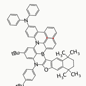 CC(C)(C)c1ccc(N2c3cc(C(C)(C)C)cc4c3B(c3ccccc3N4c3ccc(N(c4ccccc4)c4ccccc4)cc3-c3ccccc3)c3c2oc2cc4c(cc32)C(C)(C)CCC4(C)C)cc1